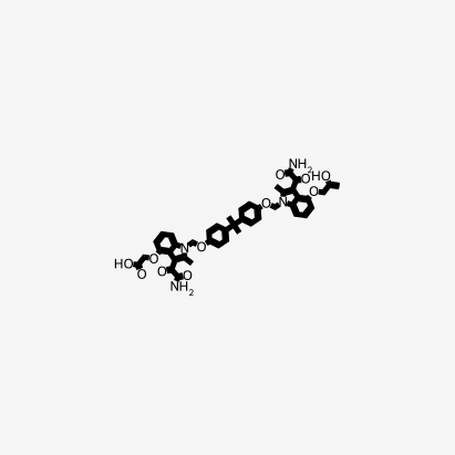 C=C(O)COc1cccc2c1c(C(=O)C(N)=O)c(C)n2COc1ccc(C(C)(C)c2ccc(OCn3c(C)c(C(=O)C(N)=O)c4c(OCC(=O)O)cccc43)cc2)cc1